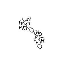 CC(C)[C@@H](C#N)NC(=O)C(O)c1ccc(-c2noc(-c3onc(-c4ccccc4)c3C(F)(F)F)n2)cc1